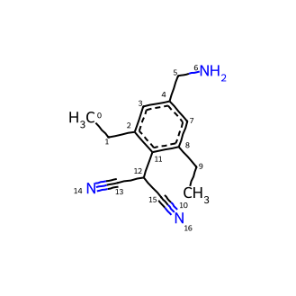 CCc1cc(CN)cc(CC)c1C(C#N)C#N